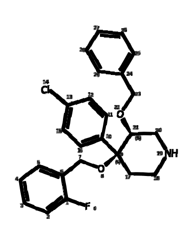 Fc1ccccc1CO[C@]1(c2ccc(Cl)cc2)CCNC[C@@H]1OCc1ccccc1